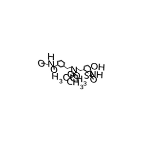 CC(C)(C)OC(=O)N(CCc1cccc(C(=O)NCC=O)c1)CCc1ccc(O)c2[nH]c(=O)sc12